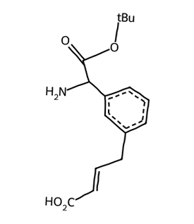 CC(C)(C)OC(=O)C(N)c1cccc(CC=CC(=O)O)c1